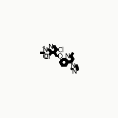 CC(=O)N(C)c1ncc(Cl)c(COc2cccc3c(-n4ccnc4)cc(C)nc23)c1Cl